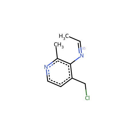 C/C=N\c1c(CCl)ccnc1C